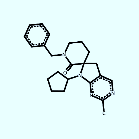 O=C1N(Cc2ccccc2)CCCC12Cc1cnc(Cl)nc1N2C1CCCC1